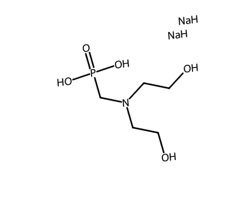 O=P(O)(O)CN(CCO)CCO.[NaH].[NaH]